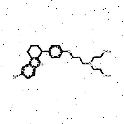 COCCN(CCCOc1ccc(C2CCCc3c2[nH]c2ccc(Br)cc32)cc1)CCOC